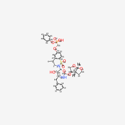 CC1CN(C[C@@H](O)[C@H](Cc2ccccc2)NC(=O)O[C@H]2CO[C@H]3OCC[C@H]32)S(=O)(=O)c2ccc(OCP(=O)(O)Oc3ccccc3)cc21